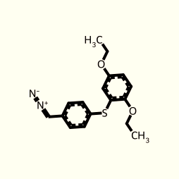 CCOc1ccc(OCC)c(Sc2ccc(C=[N+]=[N-])cc2)c1